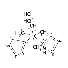 Cl.Cl.[CH3][Ti]([CH3])([CH3])([CH3])([C]1=CC=CC1)[c]1ccc[nH]1